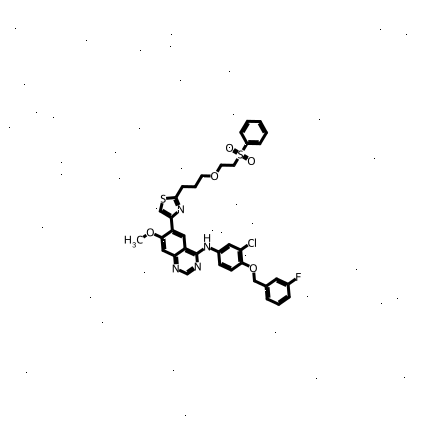 COc1cc2ncnc(Nc3ccc(OCc4cccc(F)c4)c(Cl)c3)c2cc1-c1csc(CCCOCCS(=O)(=O)c2ccccc2)n1